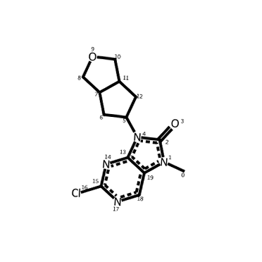 Cn1c(=O)n(C2CC3COCC3C2)c2nc(Cl)ncc21